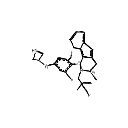 C[C@@H]1CC2=CC3=CC=CCC3=C2[C@H](c2c(F)cc(NC3CNC3)cc2F)N1CC(C)(C)F